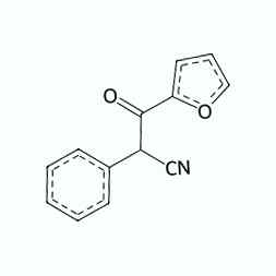 N#CC(C(=O)c1ccco1)c1ccccc1